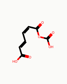 O=C(O)C=C/C=C\C(=O)OC(=O)O